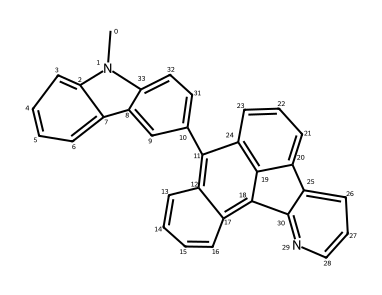 Cn1c2ccccc2c2cc(-c3c4ccccc4c4c5c(cccc35)-c3cccnc3-4)ccc21